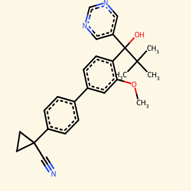 COc1cc(-c2ccc(C3(C#N)CC3)cc2)ccc1C(O)(c1cncnc1)C(C)(C)C